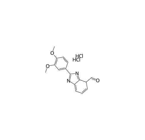 COc1ccc(C2=NC3=CC=CC(C=O)C3=N2)cc1OC.Cl.Cl